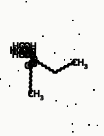 CCCCCCCCCC/C=C\CCCCCCCCCC(=O)O[C@H](COC(=O)CCCCCCCCCCCCC)COP(=O)(O)OC1C(O)C(O)C(O)[C@@H](O)C1O